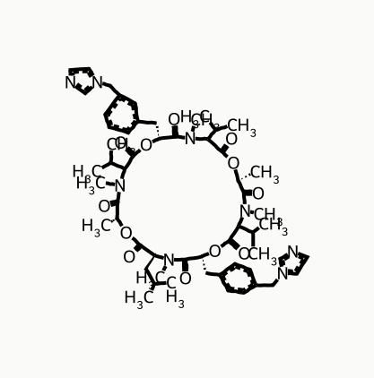 CC(C)C[C@H]1C(=O)O[C@H](C)C(=O)N(C)C(C(C)C)C(=O)O[C@H](Cc2cccc(Cn3ccnc3)c2)C(=O)N(C)C(C(C)C)C(=O)O[C@H](C)C(=O)N(C)C(C(C)C)C(=O)O[C@H](Cc2ccc(Cn3ccnc3)cc2)C(=O)N1C